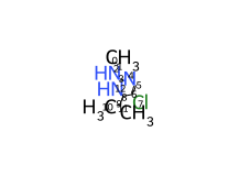 CCNC1=NC=C(Cl)C(C(C)C)N1